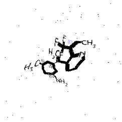 C=C(c1cccnc1/C(=C\C)C(F)(F)F)[C@H]1C[C@H](C)C[C@H](N)C1